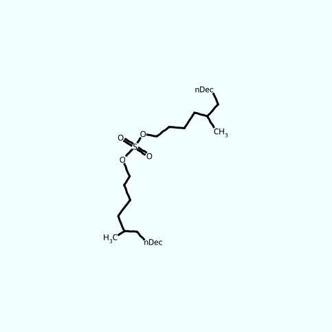 CCCCCCCCCCCC(C)CCCCOS(=O)(=O)OCCCCC(C)CCCCCCCCCCC